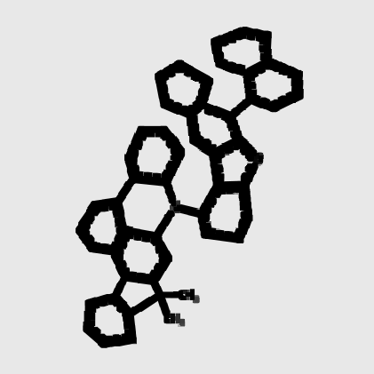 CC1(C)c2ccccc2-c2ccc(N(c3ccccc3-c3ccccc3)c3cccc4oc5c(-c6cccc7ccccc67)c6ccccc6cc5c34)cc21